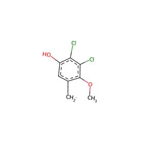 [CH2]c1cc(O)c(Cl)c(Cl)c1OC